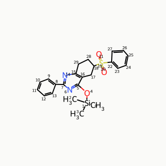 C[Si](C)(C)Oc1nc(-c2ccccc2)nc2c1CC(S(=O)(=O)c1ccccc1)CC2